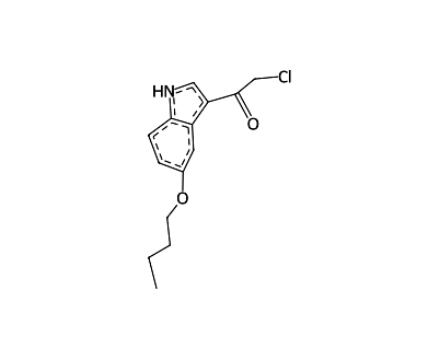 CCCCOc1ccc2[nH]cc(C(=O)CCl)c2c1